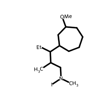 CCC(C(C)CN(C)I)C1CCCCC(OC)C1